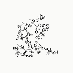 Nc1nc2c(ncn2[C@@H]2O[C@H](CO)[C@@H](O)[C@H]2OP(O)(=S)OC[C@H]2O[C@@H](n3cnc4c(=O)[nH]cnc43)[C@H](F)[C@@H]2O[PH](O)=S)c(=O)[nH]1